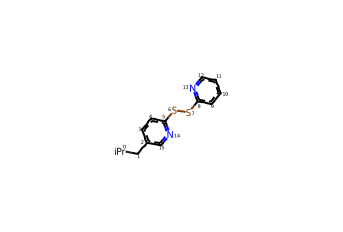 CC(C)Cc1ccc(SSc2ccccn2)nc1